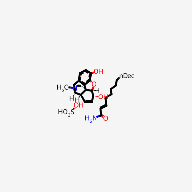 CCCCCCCCCCCCCCC/C=C/C(N)=O.CN1CC[C@]23c4c5ccc(O)c4O[C@H]2[C@@H](O)C=C[C@H]3[C@H]1C5.O=S(=O)(O)O